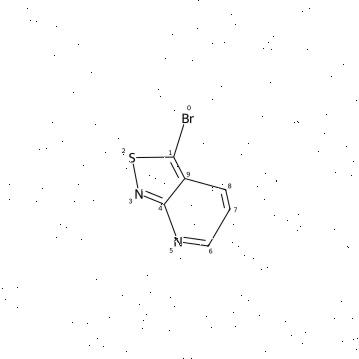 Brc1snc2ncccc12